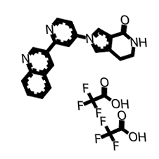 O=C(O)C(F)(F)F.O=C(O)C(F)(F)F.O=C1NCCc2cn(-c3ccnc(-c4cnc5ccccc5c4)c3)cc21